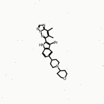 Cc1c(-c2[nH]c3ccc(C4CCN(C5CCOCC5)CC4)cc3c2C(C)C)nn2ncnc2c1C